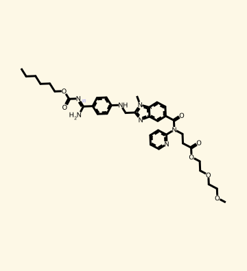 CCCCCCOC(=O)/N=C(\N)c1ccc(NCc2nc3cc(C(=O)N(CCC(=O)OCCOCCOC)c4ccccn4)ccc3n2C)cc1